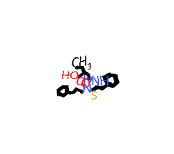 CCCC(CC(=O)NC(Cc1ccccc1)C(=S)NCCCc1ccccc1)C(=O)O